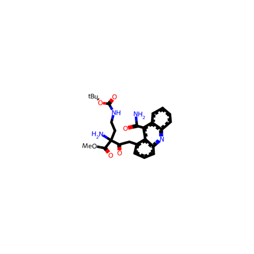 COC(=O)C(N)(CCNC(=O)OC(C)(C)C)C(=O)Cc1cccc2nc3ccccc3c(C(N)=O)c12